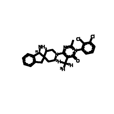 [2H]C([2H])([2H])c1c(N2CCC3(CC2)Cc2ccccc2[C@H]3N)nc(C)n(-c2cccc(Cl)c2Cl)c1=O